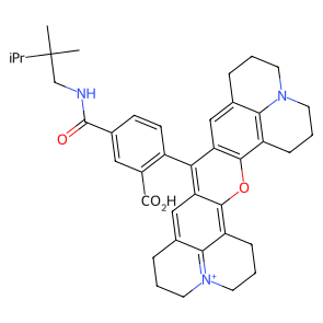 CC(C)C(C)(C)CNC(=O)c1ccc(C2=c3cc4c5c(c3Oc3c2cc2c6c3CCCN6CCC2)CCC[N+]=5CCC4)c(C(=O)O)c1